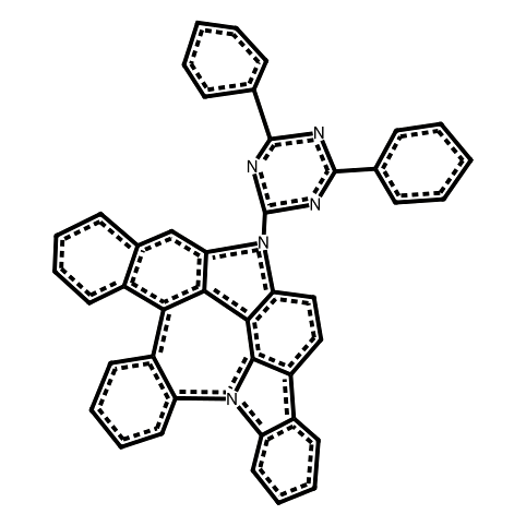 c1ccc(-c2nc(-c3ccccc3)nc(-n3c4cc5ccccc5c5c6ccccc6n6c7ccccc7c7ccc3c(c54)c76)n2)cc1